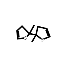 CC1(C2(C)CC=CS2)CC=CS1